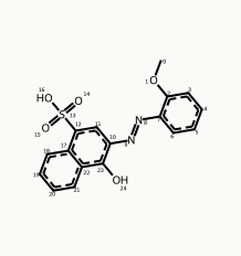 COc1ccccc1/N=N/c1cc(S(=O)(=O)O)c2ccccc2c1O